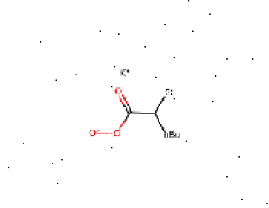 CCCCC(CC)C(=O)O[O-].[K+]